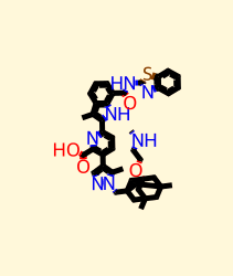 CNCCOC12CC3(C)CC(C)(CC(Cn4ncc(-c5ccc(-c6[nH]c7c(C(=O)Nc8nc9ccccc9s8)cccc7c6C)nc5C(=O)O)c4C)(C3)C1)C2